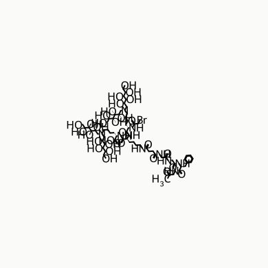 CC(=O)CNC(=O)[C@H](Cc1ccccc1)NC(=O)CNC(=O)CNC(=O)CCC(=O)NCCCC[C@H](NC(=O)[C@H](CCCCN(C[C@H](O)[C@@H](O)[C@H](O)[C@H](O)CO)C[C@H](O)[C@@H](O)[C@H](O)[C@H](O)CO)NC(=O)CBr)C(=O)N[C@@H](CCCCN(C[C@H](O)[C@@H](O)[C@H](O)[C@H](O)CO)C[C@H](O)[C@@H](O)[C@H](O)[C@H](O)CO)C(=O)O